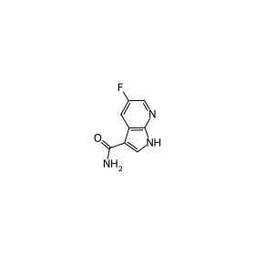 NC(=O)c1c[nH]c2ncc(F)cc12